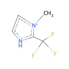 C[n+]1cc[nH]c1C(F)(F)F